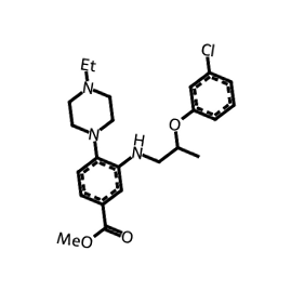 CCN1CCN(c2ccc(C(=O)OC)cc2NCC(C)Oc2cccc(Cl)c2)CC1